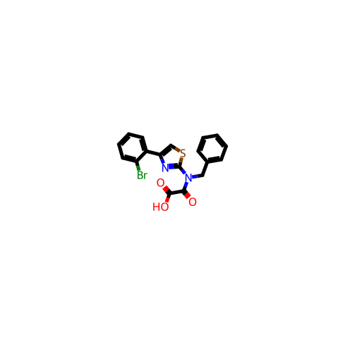 O=C(O)C(=O)N(Cc1ccccc1)c1nc(-c2ccccc2Br)cs1